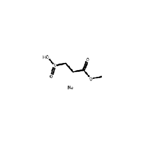 COC(=O)CCS(=O)O.[Na]